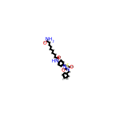 NC(=O)CCCCCCCCC(=O)Nc1ccc(-n2sc(=O)n(Cc3ccccc3)c2=O)cc1